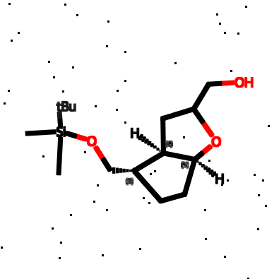 CC(C)(C)[Si](C)(C)OC[C@H]1CC[C@@H]2OC(CO)C[C@H]12